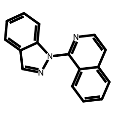 c1ccc2c(-n3ncc4ccccc43)nccc2c1